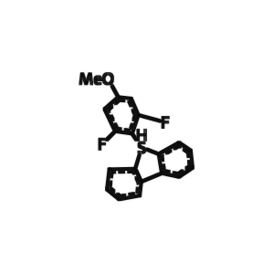 COc1cc(F)c([SH]2c3ccccc3-c3ccccc32)c(F)c1